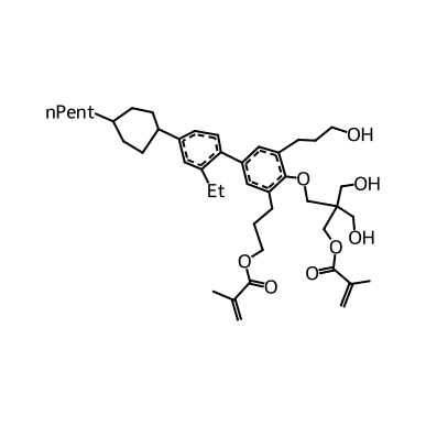 C=C(C)C(=O)OCCCc1cc(-c2ccc(C3CCC(CCCCC)CC3)cc2CC)cc(CCCO)c1OCC(CO)(CO)COC(=O)C(=C)C